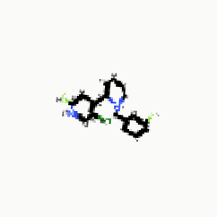 Fc1cccc(CN2CC=CC=C2c2cc(F)ncc2Cl)c1